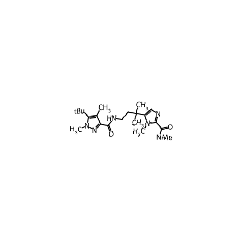 CNC(=O)c1ncc(C(C)(C)CCNC(=O)c2nn(C)c(C(C)(C)C)c2C)n1C